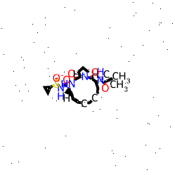 CC(C)(C)C(=O)N[C@H]1CCCCC/C=C\[C@@H]2C[C@@]2(C(=O)N[S+]([O-])C2CC2)NC(=O)[C@@H]2CCCN2C1=O